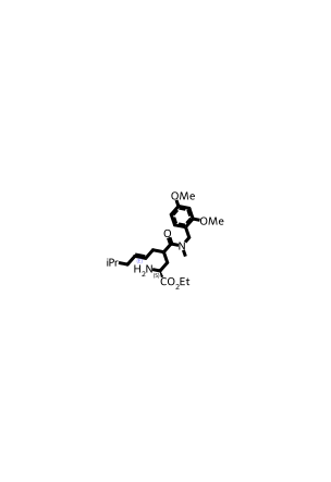 CCOC(=O)[C@@H](N)CC(C/C=C/CC(C)C)C(=O)N(C)Cc1ccc(OC)cc1OC